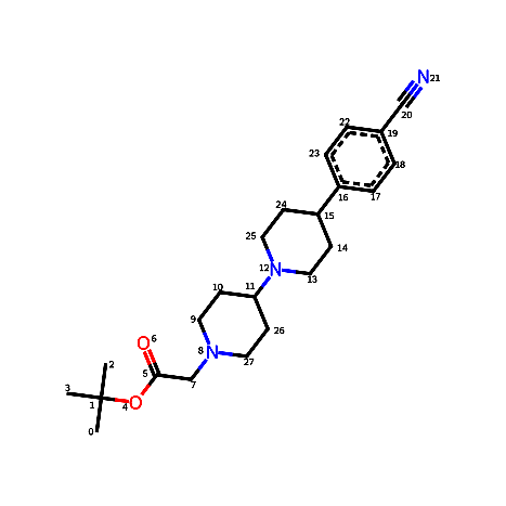 CC(C)(C)OC(=O)CN1CCC(N2CCC(c3ccc(C#N)cc3)CC2)CC1